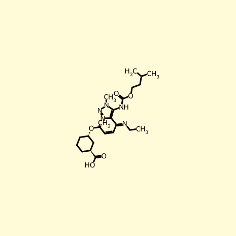 C=C(/C=C\C(=N/CC)c1nnn(C)c1NC(=O)OCCC(C)C)O[C@H]1CCC[C@H](C(=O)O)C1